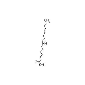 CCCCCCCCCNCCCCCCC(=O)O